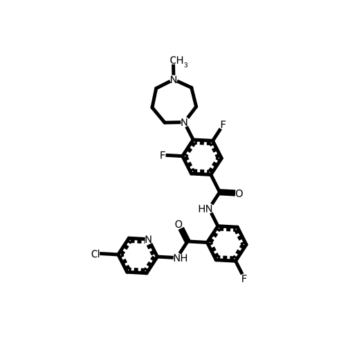 CN1CCCN(c2c(F)cc(C(=O)Nc3ccc(F)cc3C(=O)Nc3ccc(Cl)cn3)cc2F)CC1